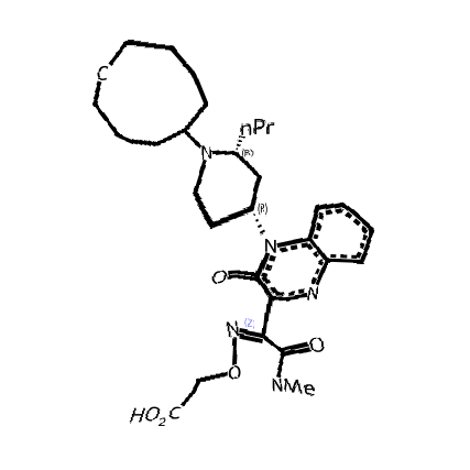 CCC[C@@H]1C[C@H](n2c(=O)c(/C(=N/OCC(=O)O)C(=O)NC)nc3ccccc32)CCN1C1CCCCCCCC1